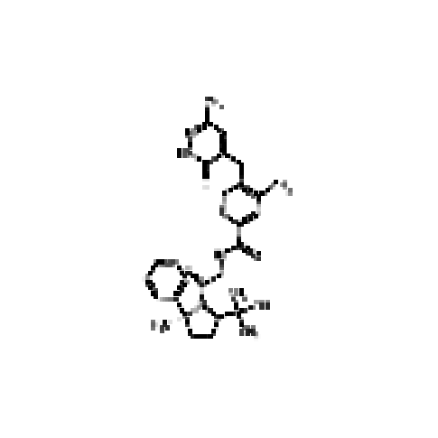 Cc1cc(Cc2ccc(C(=O)NCC(=O)N3C(C(C)(C)O)CC[C@@]3(C)c3ccccc3)cc2C)c(=O)[nH]n1